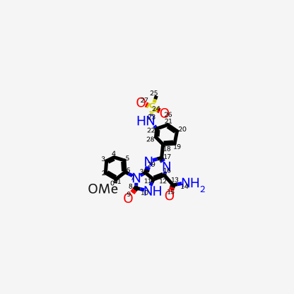 COc1ccccc1-n1c(=O)[nH]c2c(C(N)=O)nc(-c3cccc(NS(C)(=O)=O)c3)nc21